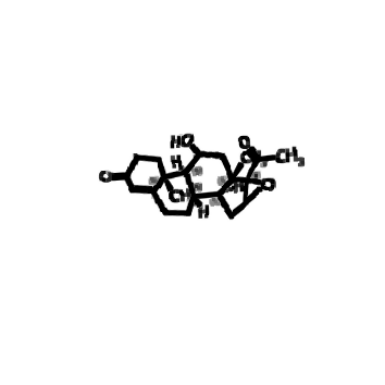 CC(=O)[C@@]12OC1C[C@H]1[C@@H]3CCC4=CC(=O)CC[C@]4(C)[C@H]3C(O)C[C@@]12C